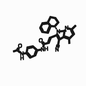 CC(=O)Nc1ccc(NC(=O)C=Cc2c(C#N)c3c(C)cc(C)nc3n2[C@H]2CCCc3ccccc32)cc1